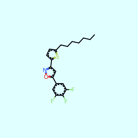 CCCCCCCc1ccc(-c2cc(-c3cc(F)c(F)c(F)c3)on2)s1